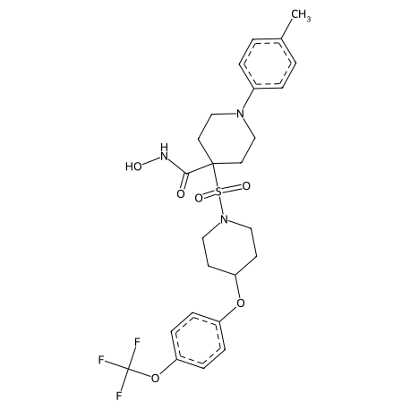 Cc1ccc(N2CCC(C(=O)NO)(S(=O)(=O)N3CCC(Oc4ccc(OC(F)(F)F)cc4)CC3)CC2)cc1